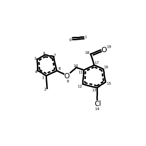 C=C.Cc1ccccc1OCc1cc(Cl)ccc1C=O